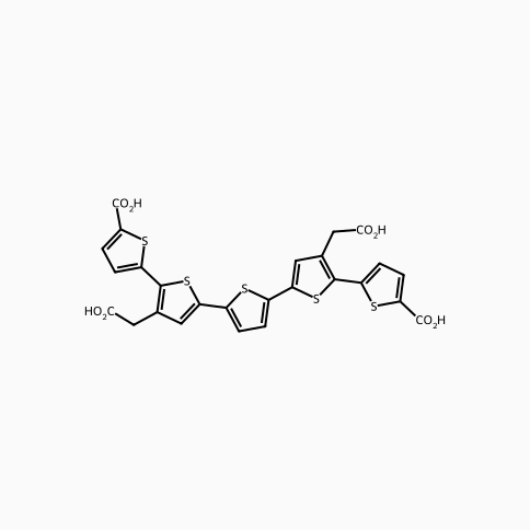 O=C(O)Cc1cc(-c2ccc(-c3cc(CC(=O)O)c(-c4ccc(C(=O)O)s4)s3)s2)sc1-c1ccc(C(=O)O)s1